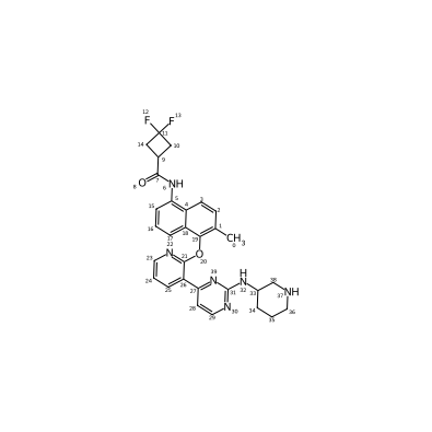 Cc1ccc2c(NC(=O)C3CC(F)(F)C3)cccc2c1Oc1ncccc1-c1ccnc(NC2CCCNC2)n1